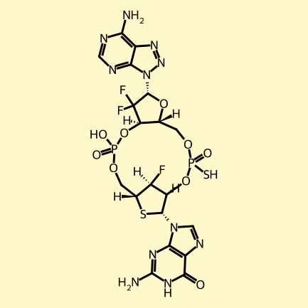 Nc1nc2c(ncn2[C@@H]2S[C@@H]3COP(=O)(O)O[C@@H]4[C@@H](COP(=O)(S)O[C@@H]2[C@@H]3F)O[C@@H](n2nnc3c(N)ncnc32)C4(F)F)c(=O)[nH]1